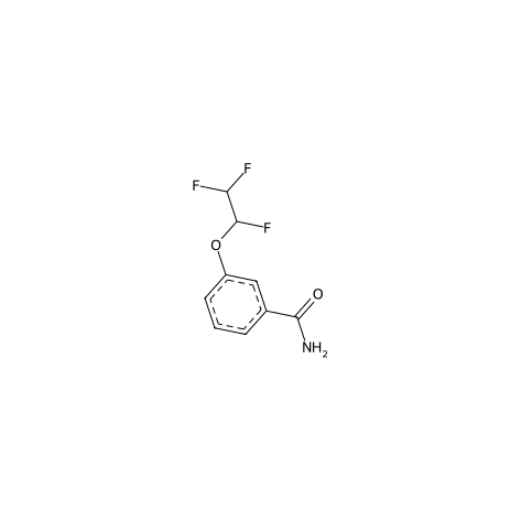 NC(=O)c1cccc(OC(F)C(F)F)c1